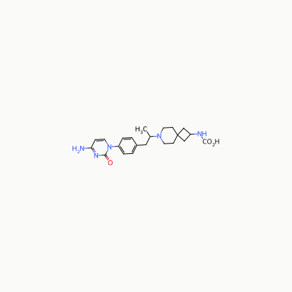 CC(Cc1ccc(-n2ccc(N)nc2=O)cc1)N1CCC2(CC1)CC(NC(=O)O)C2